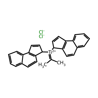 C[C](C)=[Ti+2]([CH]1C=Cc2c1ccc1ccccc21)[CH]1C=Cc2c1ccc1ccccc21.[Cl-].[Cl-]